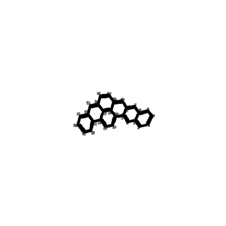 c1ccc2cc3c(cc2c1)cc1ccc2cc4ccccc4c4ccc3c1c24